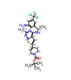 Cc1nc(N[C@H](C)c2cc(N)cc(C(F)(F)F)c2)c2cc(C3=CCN(C(=O)OC(C)(C)C)CC3)sc2n1